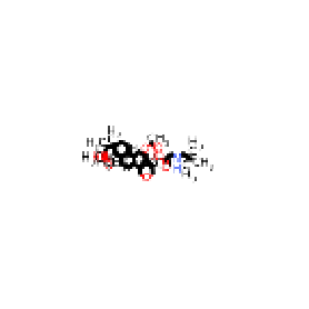 CC(=O)O[C@@H]1C[C@]23COC[C@](C)([C@@H]2CC[C@H]2C3=CC[C@@]3(C)[C@H](C(=O)O)[C@@](C)([C@H](C)C(C)C)CC[C@]23C)[C@H]1OC(=O)CNCC(C)(C)C